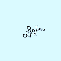 CN(CC(=O)N[C@@H](Cc1ccccn1)c1ccccc1)C(=O)CNC(C)(C)C